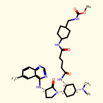 CC(C)N(C)[C@@H]1CC[C@H](N2CC[C@H](Nc3ncnc4ccc(C(F)(F)F)cc34)C2=O)[C@H](NC(=O)CCCC(=O)NC2CCC(CNC(=O)OC(C)(C)C)CC2)C1